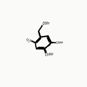 [CH2]OCc1cc(OC)c(OC)cc1[N+](=O)[O-]